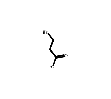 CC(C)CCC([O])=O